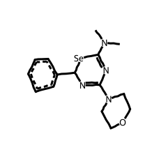 CN(C)C1=NC(N2CCOCC2)=NC(c2ccccc2)[Se]1